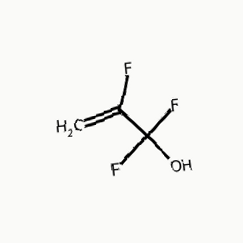 C=C(F)C(O)(F)F